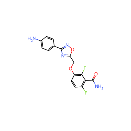 NC(=O)c1c(F)ccc(OCc2nc(-c3ccc(N)cc3)no2)c1F